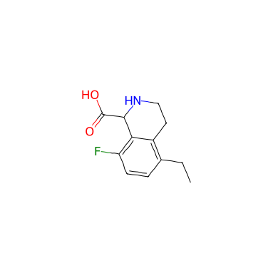 CCc1ccc(F)c2c1CCNC2C(=O)O